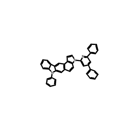 c1ccc(-c2cc(-c3ccccc3)nc(-n3ccc4c5cc6c7ccccc7n(-c7ccccc7)c6cc5ccc43)c2)cc1